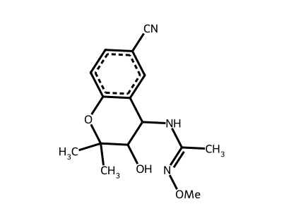 CON=C(C)NC1c2cc(C#N)ccc2OC(C)(C)C1O